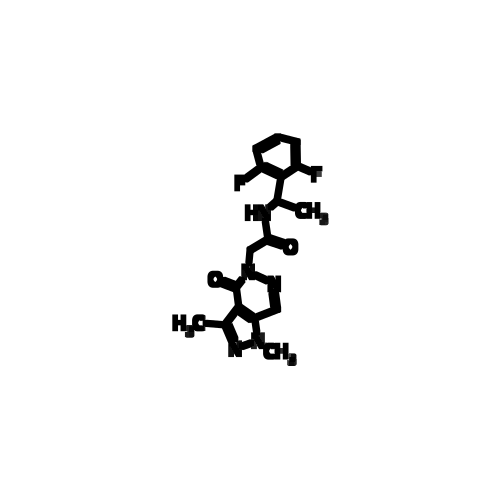 Cc1nn(C)c2cnn(CC(=O)NC(C)c3c(F)cccc3F)c(=O)c12